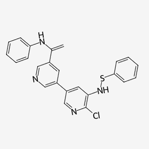 C=C(Nc1ccccc1)c1cncc(-c2cnc(Cl)c(NSc3ccccc3)c2)c1